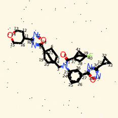 O=C(N(CC12CCC(c3nc(C4CCOCC4)no3)(CC1)CC2)c1cccc(-c2nc(C3CC3)no2)c1)C12CC(F)(C1)C2